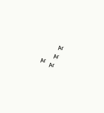 [Ar].[Ar].[Ar].[Ar]